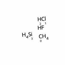 C.Cl.F.[SiH4]